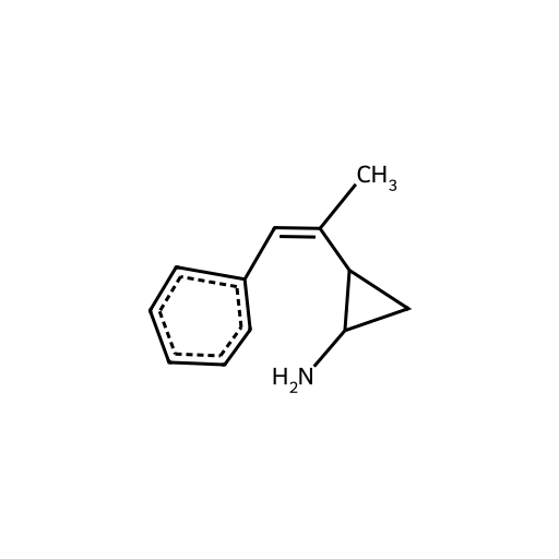 CC(=Cc1ccccc1)C1CC1N